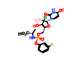 B[C@]1(Cl)[C@H](O)[C@@H](COP(=O)(N[C@@H](C)C(=O)OCC)Oc2cccc(F)c2)O[C@H]1N1C=CC(O)NC1=O